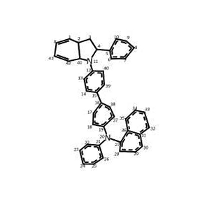 C1=CC2CC(c3ccccc3)N(c3ccc(-c4ccc(N(c5ccccc5)c5cccc6ccccc56)cc4)cc3)C2C=C1